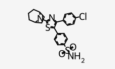 NS(=O)(=O)c1ccc(-c2sc(N3C4CCCC3CC4)nc2-c2ccc(Cl)cc2)cc1